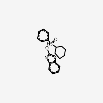 O=[SH](Oc1nc2ccccc2s1)(c1ccccc1)C1CCCCC1